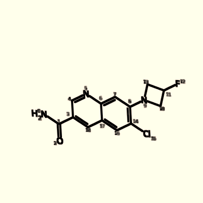 NC(=O)c1cnc2cc(N3CC(F)C3)c(Cl)cc2c1